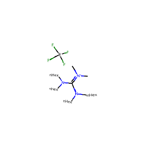 CCCCCCN(CCCCCC)C(N(CCCCCC)CCCCCC)=[N+](C)C.F[B-](F)(F)F